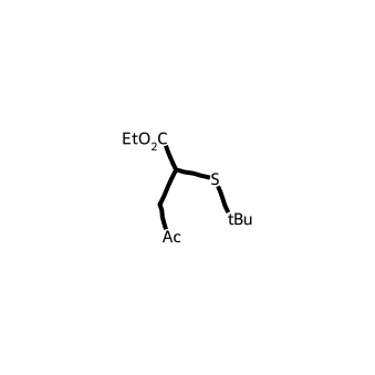 CCOC(=O)C(CC(C)=O)SC(C)(C)C